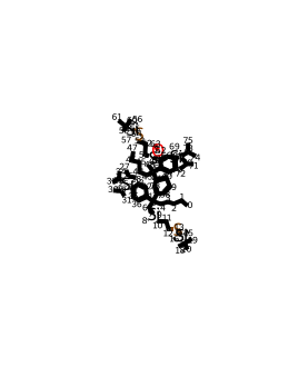 CCCCCC(C[Si](C)(C)CCCS[Si](C)(C)C(C)(C)C)(c1ccc([Si](C(C)C)(C(C)C)C(C)C)cc1)c1cccc(C(CCCCC)(C[Si](C)(CCCS[Si](C)(C)C(C)(C)C)OC)c2ccc([Si](C)(C(C)C)C(C)C)cc2)c1